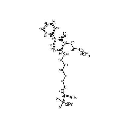 CC(C)C(C)(C)C(=O)OCCCCCCSc1ncc(-c2ccccc2)c(=O)n1CCOC(F)(F)F